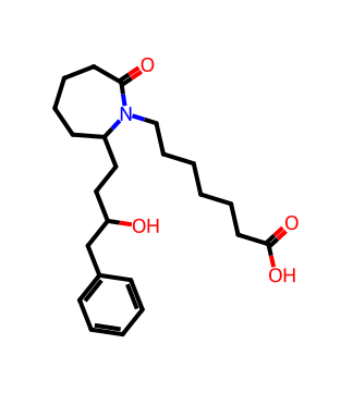 O=C(O)CCCCCCN1C(=O)CCCCC1CCC(O)Cc1ccccc1